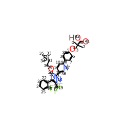 CC(C)(COc1ccc(-c2ccc(-c3nc(C(F)(F)F)c(-c4ccccc4)n3COCC[Si](C)(C)C)cn2)cc1)C(=O)O